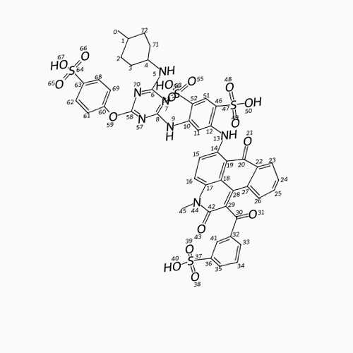 CC1CCC(Nc2nc(Nc3cc(Nc4ccc5c6c4C(=O)c4ccccc4-c6c(C(=O)c4cccc(S(=O)(=O)O)c4)c(=O)n5C)c(S(=O)(=O)O)cc3S(=O)(=O)O)nc(Oc3ccc(S(=O)(=O)O)cc3)n2)CC1